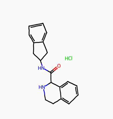 Cl.O=C(NC1Cc2ccccc2C1)C1NCCc2ccccc21